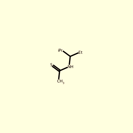 CCC(NC(C)=S)C(C)C